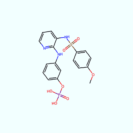 COc1ccc(S(=O)(=O)Nc2cccnc2Nc2cccc(OP(=O)(O)O)c2)cc1